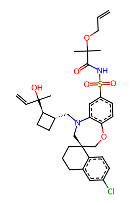 C=CCOC(C)(C)C(=O)NS(=O)(=O)c1ccc2c(c1)N(C[C@@H]1CC[C@H]1C(C)(O)C=C)C[C@@]1(CCCc3cc(Cl)ccc31)CO2